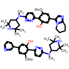 COc1cc(-c2cccnc2)cc(O)c1-c1ccc(N(C)C2CC(C)(C)NC(C)(C)C2)nn1.COc1cc(-c2cnc3n2CCCC3)cc(O)c1-c1ccc(N(C)C2CC(C)(C)NC(C)(C)C2)nn1